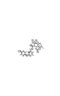 CC(C)C(C=C(Cl)Cl)C(C(=O)OCc1cccc(Oc2ccc(Cl)cc2)n1)C(C)C